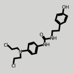 O=C(NCCc1ccc(O)cc1)Nc1ccc(N(CCCl)CCCl)cc1